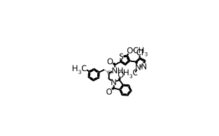 COc1sc(C(=O)N[C@@H](Cc2cccc(C)c2)CN2C(=O)c3ccccc3C2=O)cc1-c1c(Cl)cnn1C